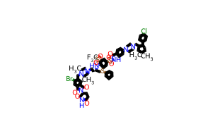 CC1CN(CC[C@H](CSc2ccccc2)Nc2ccc(S(=O)(=O)NC(=O)c3ccc(N4CCN(CC5=C(c6ccc(Cl)cc6)CCC(C)(C)C5)CC4)cc3)cc2S(=O)(=O)C(F)(F)F)CC(C)N1Cc1cc2c(cc1Br)C(=O)N(C1CCC(=O)NC1=O)C2=O